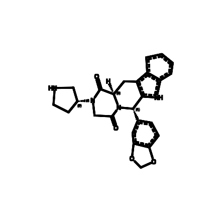 O=C1[C@H]2Cc3c([nH]c4ccccc34)[C@H](c3ccc4c(c3)OCO4)N2C(=O)CN1[C@@H]1CCNC1